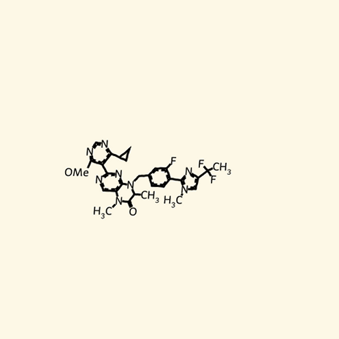 COc1ncnc(C2CC2)c1-c1ncc2c(n1)N(Cc1ccc(-c3nc(C(C)(F)F)cn3C)c(F)c1)C(C)C(=O)N2C